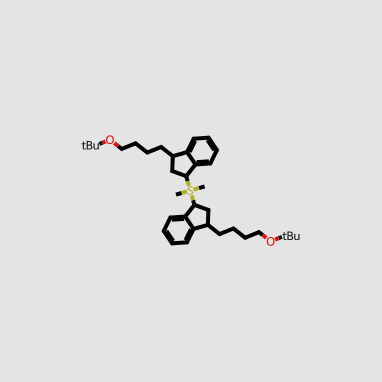 CC(C)(C)OCCCCC1CC(S(C)(C)C2CC(CCCCOC(C)(C)C)c3ccccc32)c2ccccc21